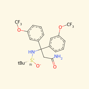 CC(C)(C)[S@@+]([O-])NC(CC(N)=O)(c1cccc(OC(F)(F)F)c1)c1cccc(OC(F)(F)F)c1